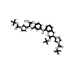 CC(C)(C)OC(=O)[C@@H](Cc1cccc(Nc2cccc(C[C@H](C(=O)O)[C@H]3CCN(C(=O)OC(C)(C)C)C3)c2)c1)[C@H]1CCN(C(=O)OC(C)(C)C)C1